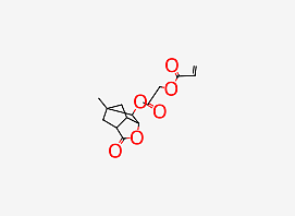 C=CC(=O)OCC(=O)OC1C2OC(=O)C3CC1(C)CC32